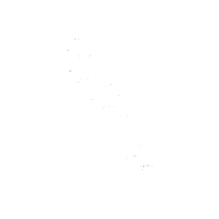 CCCCCCC(=O)Oc1ccc(-c2ccc(C3CCC(CC(C)CC)CC3)cc2)cc1